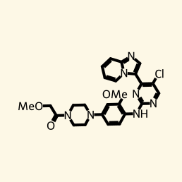 COCC(=O)N1CCN(c2ccc(Nc3ncc(Cl)c(-c4cnc5ccccn45)n3)c(OC)c2)CC1